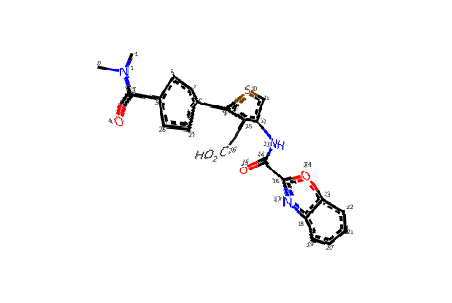 CN(C)C(=O)c1ccc(-c2scc(NC(=O)c3nc4ccccc4o3)c2C(=O)O)cc1